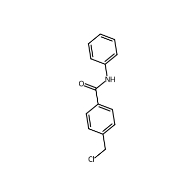 O=C(Nc1ccccc1)c1ccc(CCl)cc1